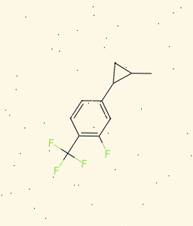 CC1CC1c1ccc(C(F)(F)F)c(F)c1